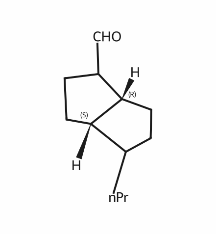 CCCC1CC[C@H]2C(C=O)CC[C@@H]12